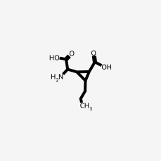 CCCC1C(C(=O)O)C1C(N)C(=O)O